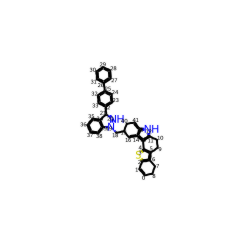 C1=Cc2sc3c(c2CC1)CCc1[nH]c2c(c1-3)=CC(CN1NC(c3ccc(-c4ccccc4)cc3)c3ccccc31)CC=2